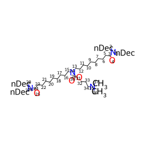 CCCCCCCCCCN(CCCCCCCCCC)C(=O)CCCCCCCCCN(CCCCCCCCCC(=O)N(CCCCCCCCCC)CCCCCCCCCC)C(=O)OCCCN(C)C